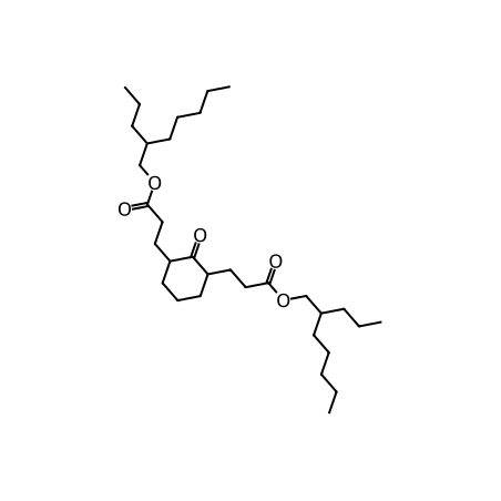 CCCCCC(CCC)COC(=O)CCC1CCCC(CCC(=O)OCC(CCC)CCCCC)C1=O